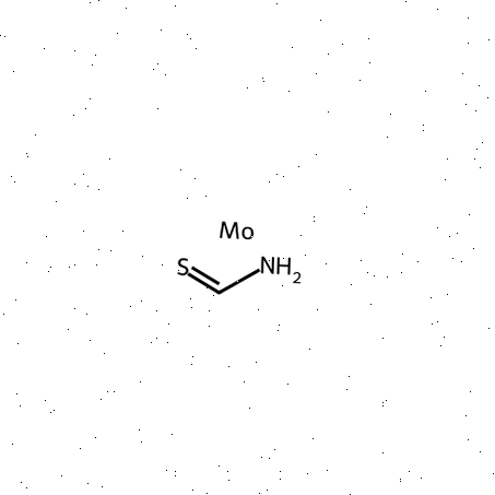 NC=S.[Mo]